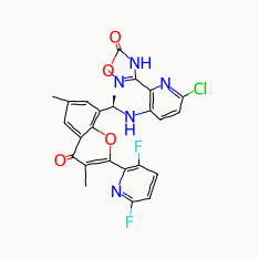 Cc1cc([C@@H](C)Nc2ccc(Cl)nc2-c2noc(=O)[nH]2)c2oc(-c3nc(F)ccc3F)c(C)c(=O)c2c1